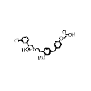 Cl.O=C(O)COc1ccc(Cc2ccc(CCNC[C@H](O)c3cccc(Cl)c3)cc2)cc1